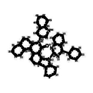 O=c1c2c(ccc3c4ccccc4n(-c4nc(-c5ccccc5)c5ccccc5n4)c32)c2c3ccccc3ccc2n1-c1cnc2ccccc2c1